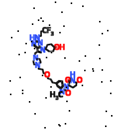 Cn1c(=O)n([C@H]2CCC(=O)NC2=O)c2ccc(CCCOCCCN3CCN(Cc4cn([C@H]5CC[C@H](O)CC5)c5nc(NCCC(F)(F)F)ncc45)CC3)cc21